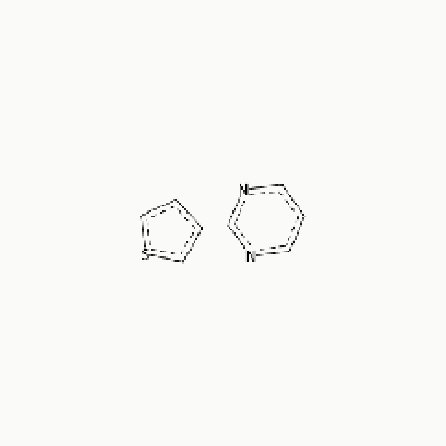 c1ccsc1.c1cncnc1